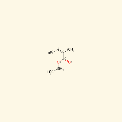 CCCC=C(C)C(=O)O[SiH2]C